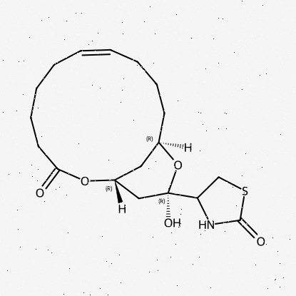 O=C1CCCCC=CCCC[C@@H]2C[C@H](C[C@](O)(C3CSC(=O)N3)O2)O1